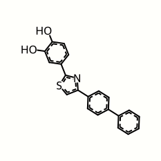 Oc1ccc(-c2nc(-c3ccc(-c4ccccc4)cc3)cs2)cc1O